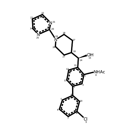 CC(=O)Nc1cc(-c2cccc(Cl)c2)ccc1[C@H](O)C1CCN(c2ncccn2)CC1